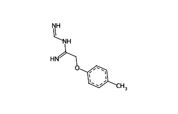 Cc1ccc(OCC(=N)NC=N)cc1